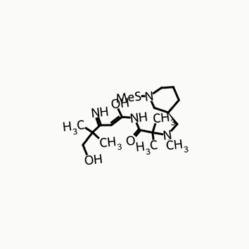 CSN1CCC[C@@H](CN(C)C(C)(C)C(=O)N/C(O)=C/C(=N)C(C)(C)CO)C1